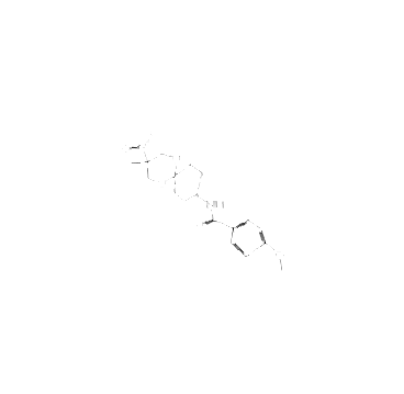 COc1ccc(C(=O)NC2CCC3(CC2)OCC(C)([N+](=O)[O-])CO3)cc1